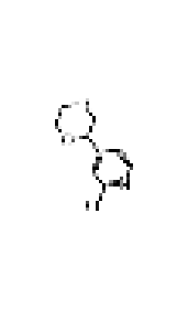 Clc1cc(C2COCCO2)ccn1